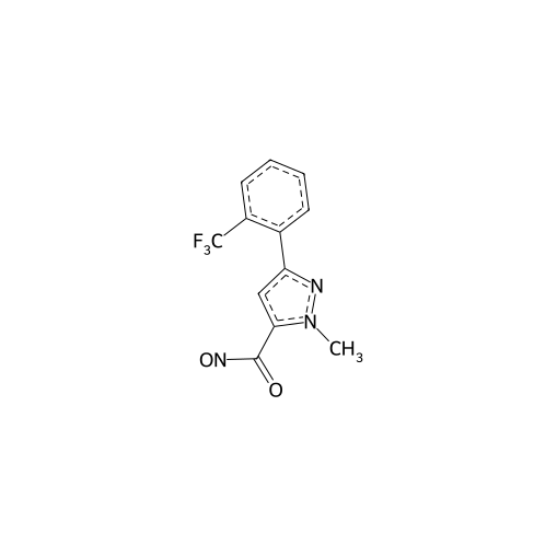 Cn1nc(-c2ccccc2C(F)(F)F)cc1C(=O)N=O